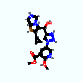 COC(=O)c1cc(-n2cc(C(O)c3c(C4CC4)sc4cncn34)nn2)cnc1OC